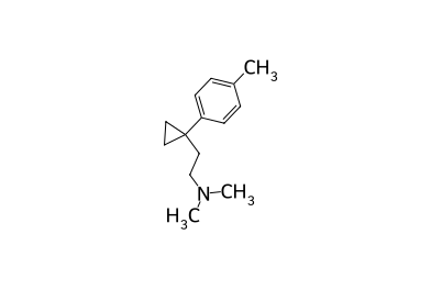 Cc1ccc(C2(CCN(C)C)CC2)cc1